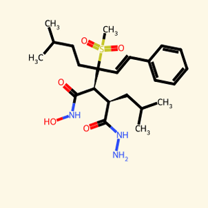 CC(C)CCC(C=Cc1ccccc1)([C@H](C(=O)NO)[C@@H](CC(C)C)C(=O)NN)S(C)(=O)=O